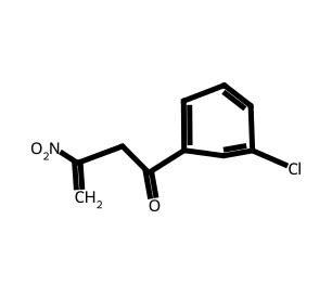 C=C(CC(=O)c1cccc(Cl)c1)[N+](=O)[O-]